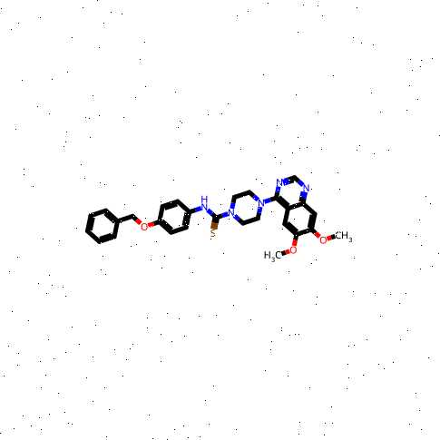 COc1cc2ncnc(N3CCN(C(=S)Nc4ccc(OCc5ccccc5)cc4)CC3)c2cc1OC